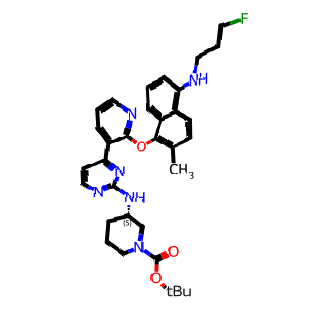 Cc1ccc2c(NCCCF)cccc2c1Oc1ncccc1-c1ccnc(N[C@H]2CCCN(C(=O)OC(C)(C)C)C2)n1